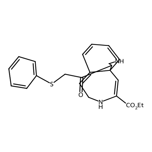 CCOC(=O)C1=CC23C(=CCN1)C=CC=C2NCC3C(=O)CSc1ccccc1